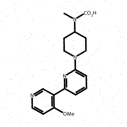 COc1ccncc1-c1cccc(N2CCC(N(C)C(=O)O)CC2)n1